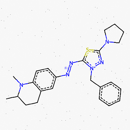 CC1CCc2cc(/N=N/c3sc(N4CCCC4)n[n+]3Cc3ccccc3)ccc2N1C